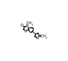 Cn1cc(-c2ccc3c(c2)ncc(=O)n3C)cn1